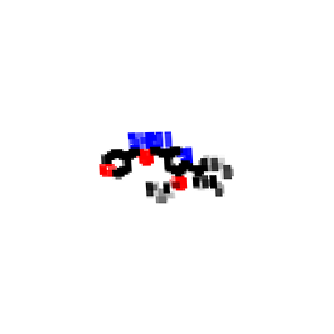 COc1cc(C(=N)OC(=N)C2CCOCC2)cnc1C(C)C